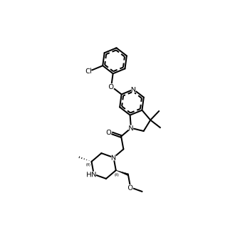 COC[C@H]1CN[C@H](C)CN1CC(=O)N1CC(C)(C)c2cnc(Oc3ccccc3Cl)cc21